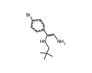 CC(C)(C)CN/C(=C\N)c1ccc(Br)cc1